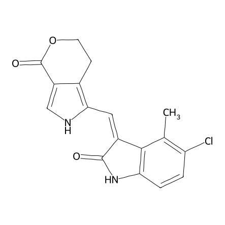 Cc1c(Cl)ccc2c1C(=Cc1[nH]cc3c1CCOC3=O)C(=O)N2